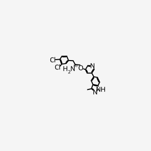 Cc1n[nH]c2ccc(-c3cncc(OC[C@@H](N)Cc4ccc(Cl)c(Cl)c4)c3)cc12